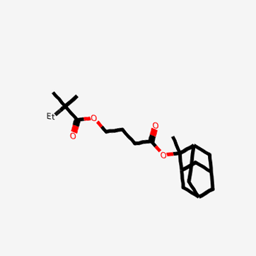 CCC(C)(C)C(=O)OCCCC(=O)OC1(C)C2CC3CC(C2)CC1C3